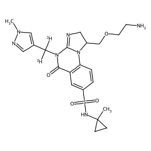 [2H]C([2H])(c1cnn(C)c1)N1C(=O)c2cc(S(=O)(=O)NC3(C)CC3)ccc2N2C1=NCC2COCCN